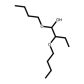 CCCCO[C](O)C(CC)OCCCC